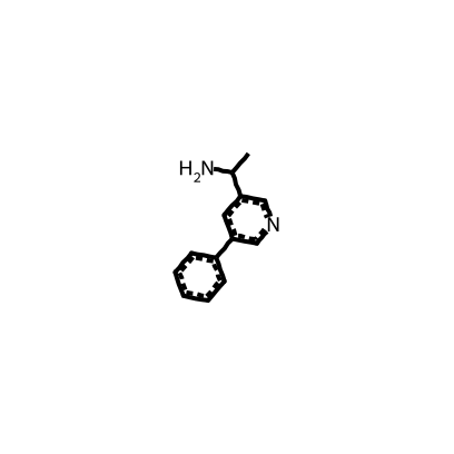 CC(N)c1cncc(-c2ccccc2)c1